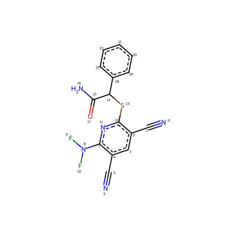 N#Cc1cc(C#N)c(N(F)F)nc1SC(C(N)=O)c1ccccc1